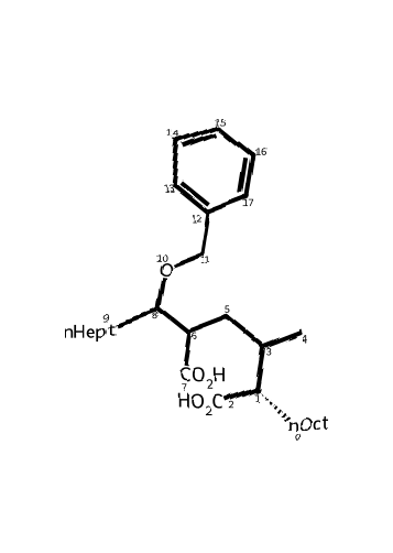 CCCCCCCC[C@H](C(=O)O)C(C)CC(C(=O)O)C(CCCCCCC)OCc1ccccc1